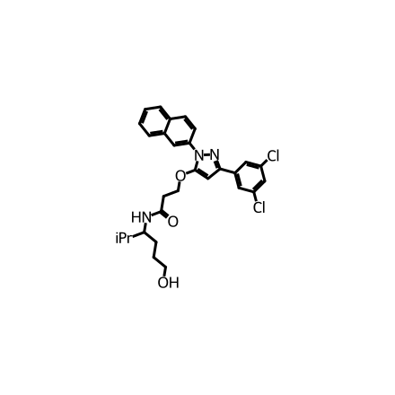 CC(C)C(CCCO)NC(=O)CCOc1cc(-c2cc(Cl)cc(Cl)c2)nn1-c1ccc2ccccc2c1